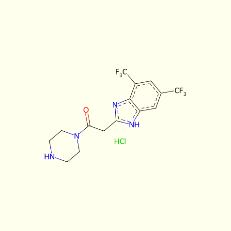 Cl.O=C(Cc1nc2c(C(F)(F)F)cc(C(F)(F)F)cc2[nH]1)N1CCNCC1